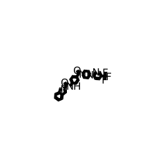 O=C(Nc1ccc(C(=O)N2CCN(c3ccc(C(F)(F)F)cn3)CC2)cc1)N1Cc2ccccc2C1